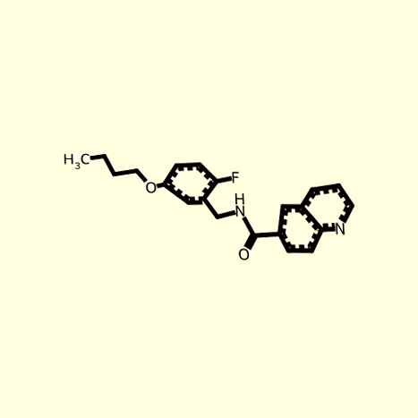 CCCCOc1ccc(F)c(CNC(=O)c2ccc3ncccc3c2)c1